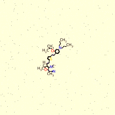 [C-]#[N+]C1=C(/C=C/c2ccc(/C=C/c3ccc(N(CCCC)CCCC)cc3OCC(=C)C)s2)C(C)(C)O/C1=C(\C)C#N